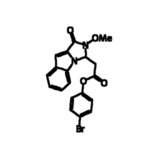 CON1C(=O)c2cc3ccccc3n2C1CC(=O)Oc1ccc(Br)cc1